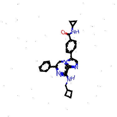 O=C(NC1CC1)c1ccc(-c2cnc3c(NCC4CCC4)nc(-c4ccccc4)cn23)cc1